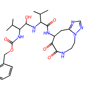 CC(C)C(NC(O)C(NC(=O)OCc1ccccc1)C(C)C)C(=O)NC1Cc2ncnn2CCNC(=O)C1=O